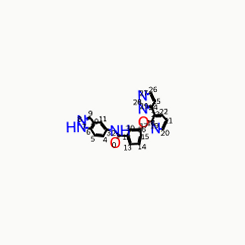 O=C(Nc1ccc2[nH]ncc2c1)c1cccc(Oc2ncccc2-c2ccncn2)c1